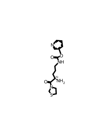 N[C@@H](CCCNC(=O)Oc1cccnc1)C(=O)N1CCSC1